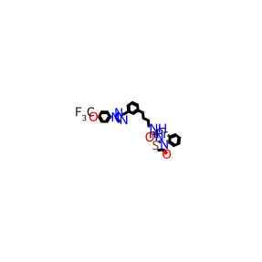 CCCc1ccccc1N1C(=O)CS/C1=N\C(=O)NCCCCc1cccc(-c2ncn(-c3ccc(OC(F)(F)F)cc3)n2)c1